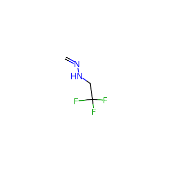 C=NNCC(F)(F)F